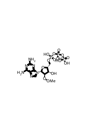 COO[C@@H]1[C@@H](O)[C@@H](COP(=O)(O)OP(=O)(O)OP(=O)(O)O)O[C@H]1n1cnc2c(N)nc(N)nc21